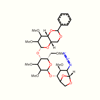 COC[C@@H]1O[C@@H](O[C@H]2C3CO[C@H](O3)C(N=[N+]=[N-])[C@@H]2OC)C(OC)C(OC)[C@@H]1O[C@H]1O[C@H]2COC(c3ccccc3)O[C@H]2C(OC)C1OC